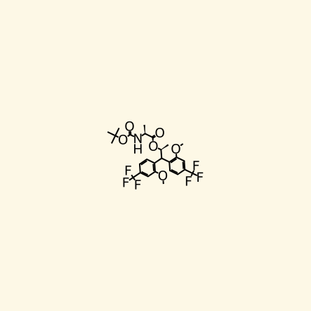 COc1cc(C(F)(F)F)ccc1C(c1ccc(C(F)(F)F)cc1OC)[C@H](C)OC(=O)[C@H](C)NC(=O)OC(C)(C)C